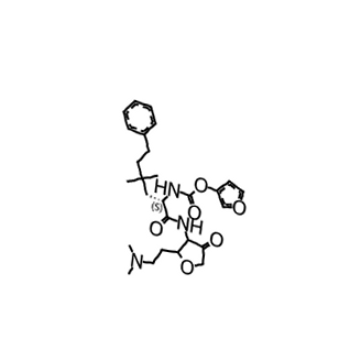 CN(C)CCC1OCC(=O)C1NC(=O)[C@H](CC(C)(C)CCc1ccccc1)NC(=O)Oc1ccoc1